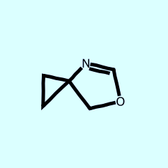 C1=NC2(CC2)CO1